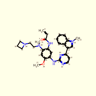 C=CC(=O)Nc1cc(Nc2nccc(-c3cn(C)c4ccccc34)n2)c(OC)cc1N(C)CCN1CCC1